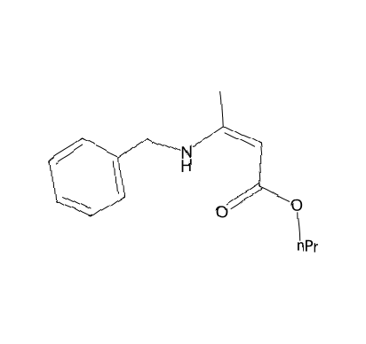 CCCOC(=O)/C=C(/C)NCc1ccccc1